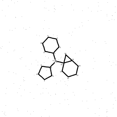 C1CCC(N(C2CCCC2)C23CCCCC2C3)CC1